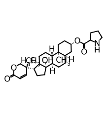 CC1([C@H]2CC[C@]3(O)[C@@H]4CC[C@@H]5C[C@@H](OC(=O)C6CCCN6)CC[C@]5(C)[C@H]4CC[C@]23C)C=CC(=O)OC1